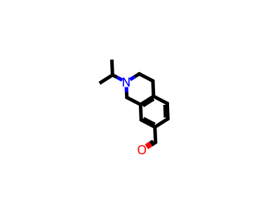 CC(C)N1CCc2ccc(C=O)cc2C1